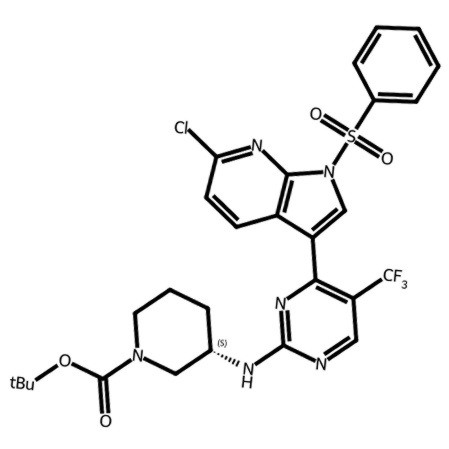 CC(C)(C)OC(=O)N1CCC[C@H](Nc2ncc(C(F)(F)F)c(-c3cn(S(=O)(=O)c4ccccc4)c4nc(Cl)ccc34)n2)C1